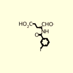 O=[C][C@H](CCC(=O)O)NC(=O)c1cccc(I)c1